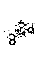 CC1(C)CC(=O)N(C(c2cncc(Cl)c2)[C@@H]2C[C@H]2C(=O)N[C@@H]2C[C@H](C(F)(F)F)Oc3ccccc32)C(=N)N1